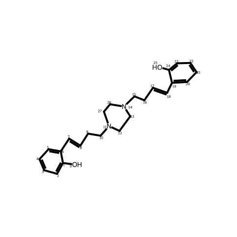 Oc1ccccc1C=CCCN1CCN(CCC=Cc2ccccc2O)CC1